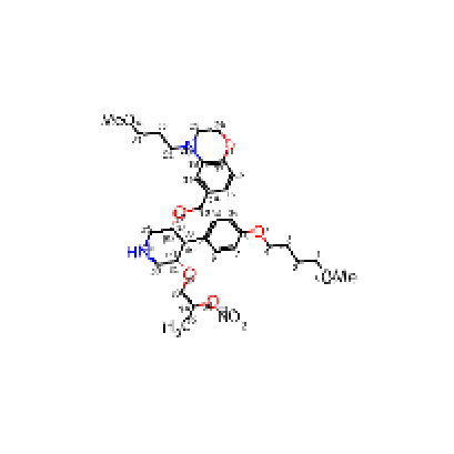 COCCCCOc1ccc([C@@H]2[C@@H](OCc3ccc4c(c3)N(CCCOC)CCO4)CNC[C@H]2OCC(C)O[N+](=O)[O-])cc1